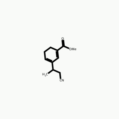 COC(=O)C1=CC(C(C)CC#N)=CCC1